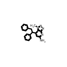 Cn1nnc2nc(N)cc(C(Cc3ccccc3)c3ccccc3)c21